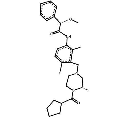 CO[C@H](C(=O)Nc1ccc(F)c(CN2CCN(C(=O)C3CCCC3)[C@@H](C)C2)c1C)c1ccccc1